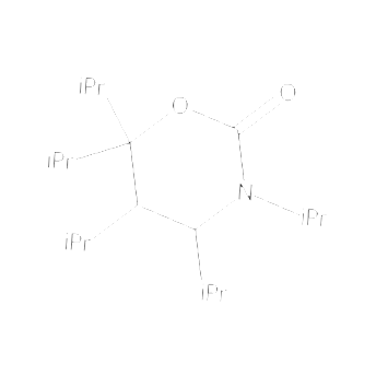 CC(C)C1C(C(C)C)C(C(C)C)(C(C)C)OC(=O)N1C(C)C